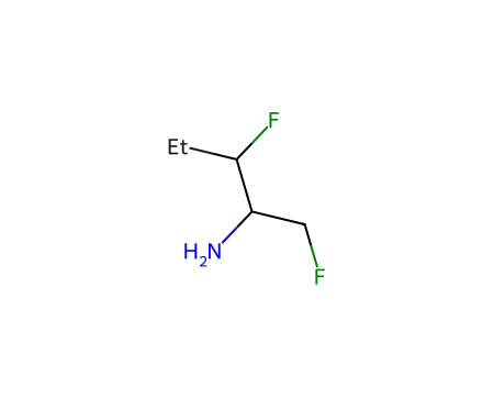 CCC(F)C(N)CF